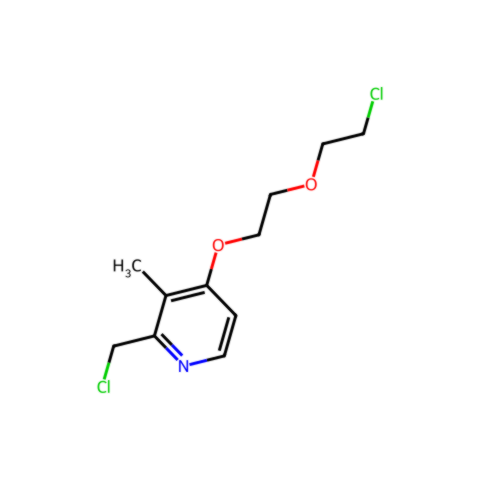 Cc1c(OCCOCCCl)ccnc1CCl